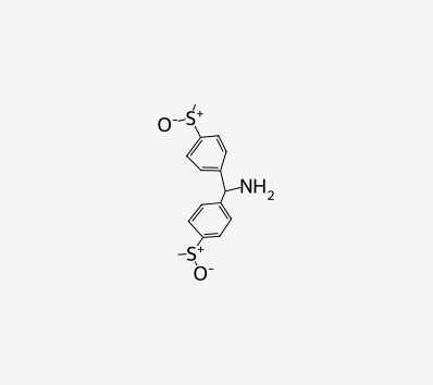 C[S+]([O-])c1ccc(C(N)c2ccc([S+](C)[O-])cc2)cc1